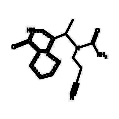 CC(c1c[nH]c(=O)c2ccccc12)N(CCC#N)C(N)=O